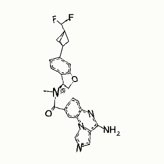 CN(C(=O)c1ccc2nc(N)c3cncn3c2c1)[C@@H]1COc2cc(C34CC(C(F)F)(C3)C4)ccc21